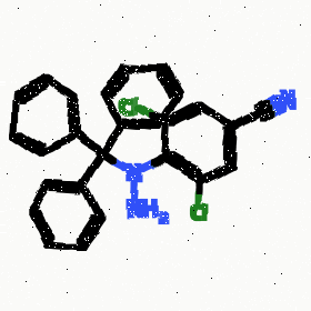 N#Cc1cc(Cl)c(N(N)C(c2ccccc2)(c2ccccc2)c2ccccc2)c(Cl)c1